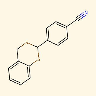 N#Cc1ccc(C2SCc3ccccc3S2)cc1